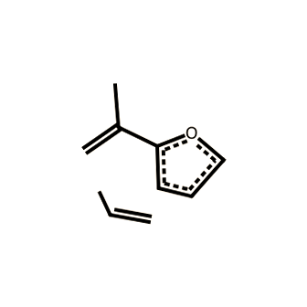 C=C(C)c1ccco1.C=CC